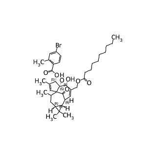 CCCCCCCCCC(=O)OCC1=C[C@@H]2C(=O)C3(C=C(C)[C@H](OC(=O)c4ccc(Br)cc4C)[C@@]3(O)[C@@H]1O)C(C)C[C@@H]1[C@H]2C1(C)C